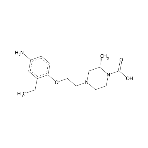 CCc1cc(N)ccc1OCCN1CCN(C(=O)O)[C@@H](C)C1